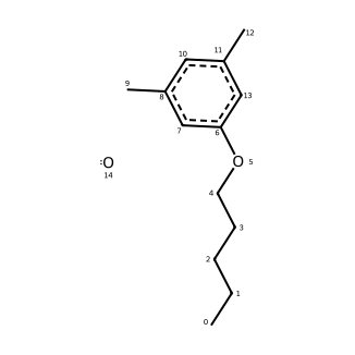 CCCCCOc1cc(C)cc(C)c1.[O]